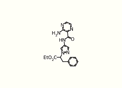 CCOC(=O)C(Cc1ccccc1)n1cc(NC(=O)c2nccnc2N)cn1